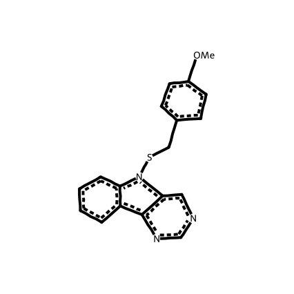 COc1ccc(CSn2c3ccccc3c3ncncc32)cc1